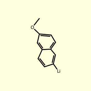 [Li][c]1ccc2cc(OC)ccc2c1